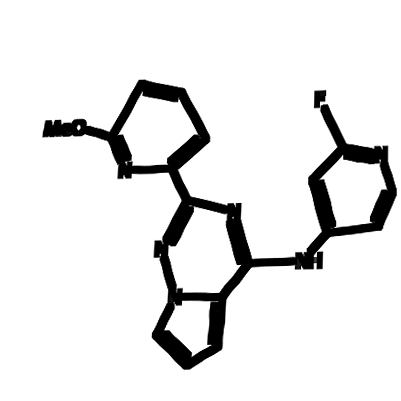 COc1cccc(-c2nc(Nc3ccnc(F)c3)c3cccn3n2)n1